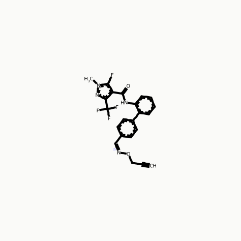 C#CCO/N=C\c1ccc(-c2ccccc2NC(=O)c2c(C(F)(F)F)nn(C)c2F)cc1